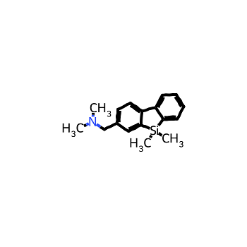 CN(C)Cc1ccc2c(c1)[Si](C)(C)c1ccccc1-2